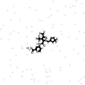 NC(=O)c1cc(NC(=O)c2c(C(F)(F)F)c(C(F)F)nn2CC2CCC(F)(F)C2)ccn1